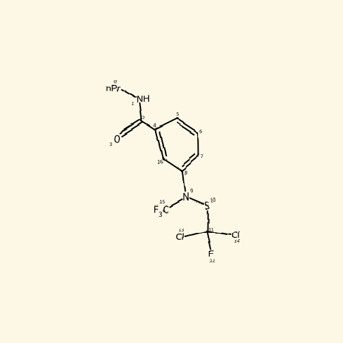 CCCNC(=O)c1cccc(N(SC(F)(Cl)Cl)C(F)(F)F)c1